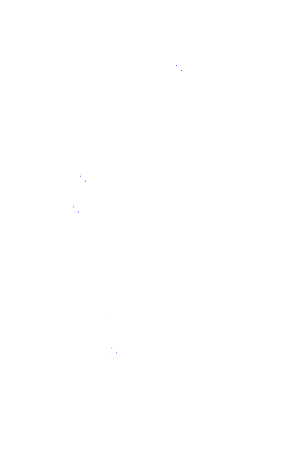 c1cc(-c2nnc(-c3ccc(NC4CCCCC4)cc3)o2)ccc1NC1CCCCC1